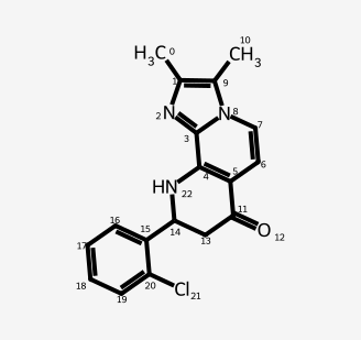 Cc1nc2c3c(ccn2c1C)C(=O)CC(c1ccccc1Cl)N3